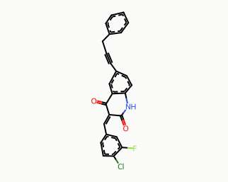 O=C1Nc2ccc(C#CCc3ccccc3)cc2C(=O)/C1=C/c1ccc(Cl)c(F)c1